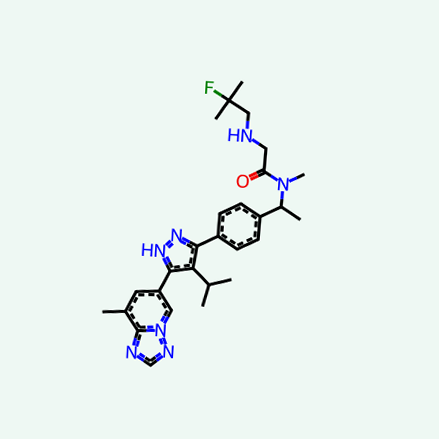 Cc1cc(-c2[nH]nc(-c3ccc(C(C)N(C)C(=O)CNCC(C)(C)F)cc3)c2C(C)C)cn2ncnc12